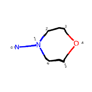 [N]N1CCOCC1